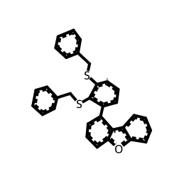 [c]1ccc(-c2cccc3oc4ccccc4c23)c(SCc2ccccc2)c1SCc1ccccc1